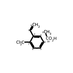 C=Cc1ccccc1C(Cl)(Cl)Cl.CC(=O)O